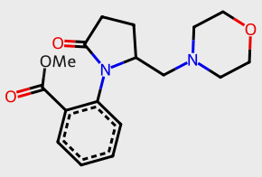 COC(=O)c1ccccc1N1C(=O)CCC1CN1CCOCC1